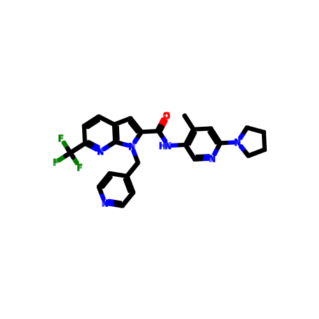 Cc1cc(N2CCCC2)ncc1NC(=O)c1cc2ccc(C(F)(F)F)nc2n1Cc1ccncc1